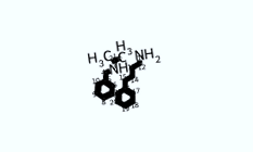 CC(C)NCc1ccccc1.NCCCCc1ccccc1